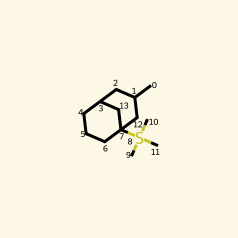 CC1CC2CCCC(S(C)(C)C)(C1)C2